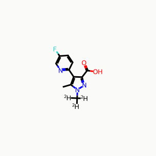 [2H]C([2H])([2H])n1nc(C(=O)O)c(-c2ccc(F)cn2)c1C